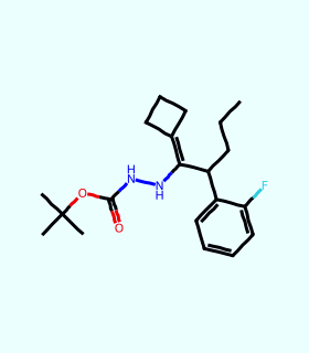 CCCC(C(NNC(=O)OC(C)(C)C)=C1CCC1)c1ccccc1F